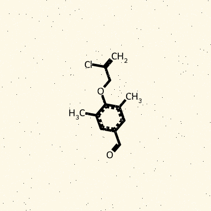 C=C(Cl)COc1c(C)cc(C=O)cc1C